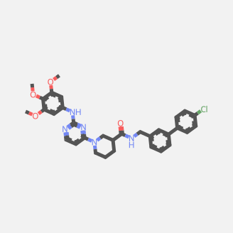 COc1cc(Nc2nccc(N3CCCC(C(=O)NCc4cccc(-c5ccc(Cl)cc5)c4)C3)n2)cc(OC)c1OC